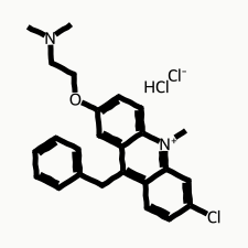 CN(C)CCOc1ccc2c(c1)c(Cc1ccccc1)c1ccc(Cl)cc1[n+]2C.Cl.[Cl-]